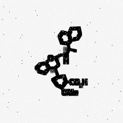 COc1ccc([C@@H]2C[C@H](CN[C@H](C)c3cccc4ccccc34)Oc3ccccc32)cc1C(=O)O